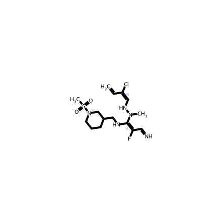 C=C/C(Cl)=C\NN(C)/C(NCC1CCCN(S(C)(=O)=O)C1)=C(/F)C=N